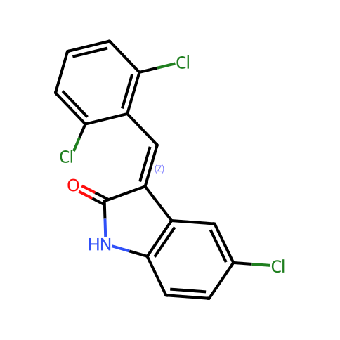 O=C1Nc2ccc(Cl)cc2/C1=C/c1c(Cl)cccc1Cl